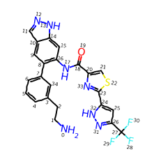 NCCc1cccc(-c2cc3cn[nH]c3cc2NC(=O)c2csc(-c3cc(C(F)(F)F)n[nH]3)n2)c1